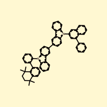 CC1(C)CCC(C)(C)c2c(-c3ccccc3-n3c4ccccc4c4cc(-c5ccc6c(c5)c5ccccc5n6-c5cc(-c6ccccc6)c6ccccc6c5)ccc43)cccc21